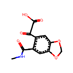 CNC(=O)c1cc2c(cc1C(=O)C(=O)O)OCO2